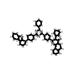 c1ccc(-c2nc(-c3ccc(-c4cccc5c4sc4ccccc45)cc3)nc(-c3ccc(-c4nc5c6ccccc6ccc5c5sc6ccccc6c45)cc3)n2)cc1